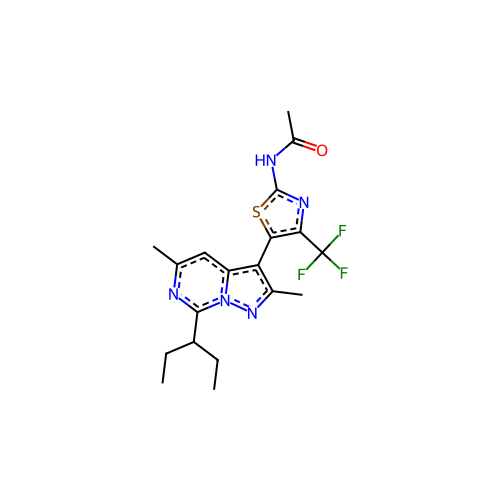 CCC(CC)c1nc(C)cc2c(-c3sc(NC(C)=O)nc3C(F)(F)F)c(C)nn12